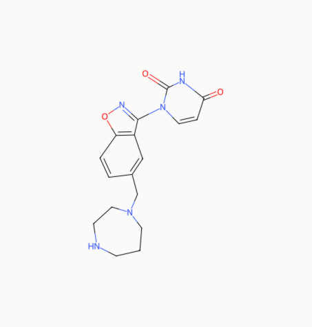 O=c1ccn(-c2noc3ccc(CN4CCCNCC4)cc23)c(=O)[nH]1